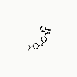 CCC(=O)N1CCC(Oc2ccc(-c3n[nH]c4ccccc34)cc2)CC1